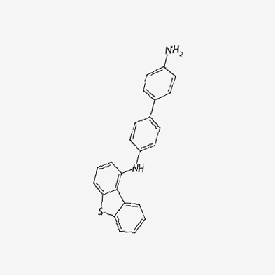 Nc1ccc(-c2ccc(Nc3cccc4sc5ccccc5c34)cc2)cc1